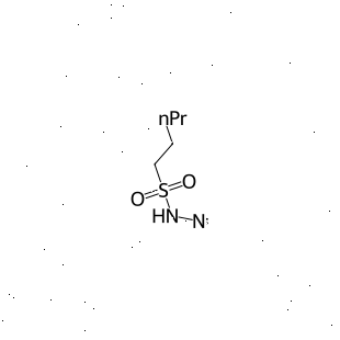 CCCCCS(=O)(=O)N[N]